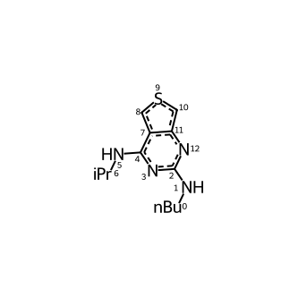 CCCCNc1nc(NC(C)C)c2cscc2n1